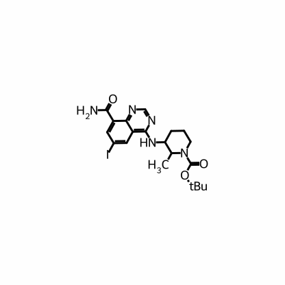 CC1C(Nc2ncnc3c(C(N)=O)cc(I)cc23)CCCN1C(=O)OC(C)(C)C